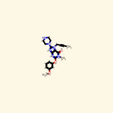 CC#CCn1c(N2CCNCC2)nc2nc(Oc3cccc(OC)c3)n(C)c(=O)c21